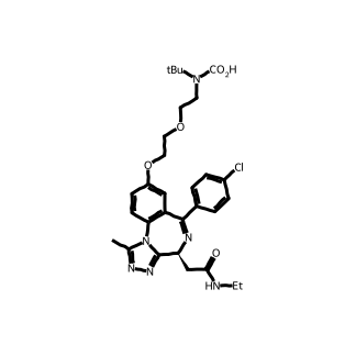 CCNC(=O)C[C@@H]1N=C(c2ccc(Cl)cc2)c2cc(OCCOCCN(C(=O)O)C(C)(C)C)ccc2-n2c(C)nnc21